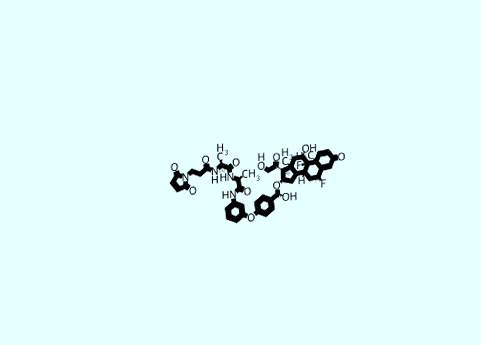 C[C@H](NC(=O)CCN1C(=O)C=CC1=O)C(=O)N[C@@H](C)C(=O)Nc1cccc(Oc2ccc([C@@H](O)O[C@@H]3CC4[C@@H]5C[C@H](F)C6=CC(=O)C=C[C@]6(C)[C@@]5(F)[C@@H](O)C[C@]4(C)[C@H]3C(=O)CO)cc2)c1